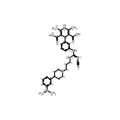 CC1=C(C(=O)O)C(c2cccc(N/C(=N/C#N)NCCCN3CCC(c4cccc(N(C)C)c4)CC3)c2)C(C(=O)O)=C(C)N1